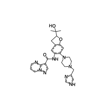 CC(C)(O)C1Cc2cc(NC(=O)c3cnn4cccnc34)c(N3CCN(Cc4c[nH]cn4)CC3)cc2O1